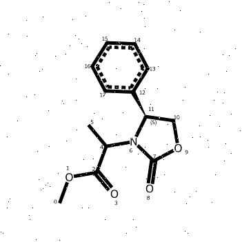 COC(=O)C(C)N1C(=O)OC[C@@H]1c1ccccc1